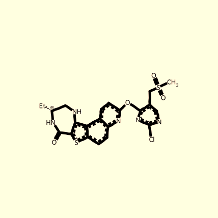 CC[C@@H]1CNc2c(sc3ccc4nc(Oc5nc(Cl)ncc5CS(C)(=O)=O)ccc4c23)C(=O)N1